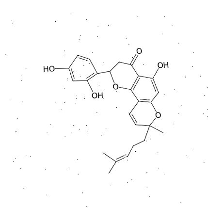 CC(C)=CCCC1(C)C=Cc2c(cc(O)c3c2OC(c2ccc(O)cc2O)CC3=O)O1